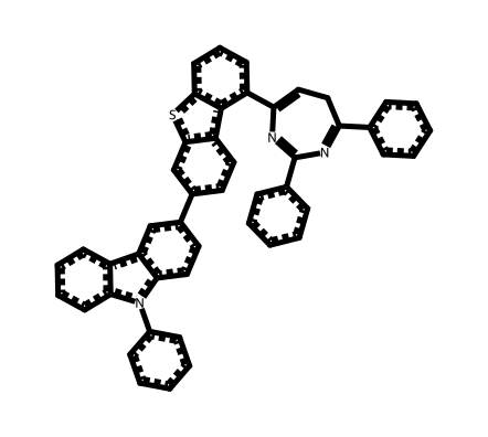 C1=C(c2cccc3sc4cc(-c5ccc6c(c5)c5ccccc5n6-c5ccccc5)ccc4c23)N=C(c2ccccc2)N=C(c2ccccc2)C1